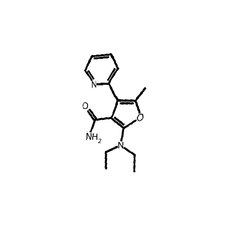 CCN(CC)c1oc(C)c(-c2ccccn2)c1C(N)=O